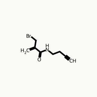 C#CCCNC(=O)C(=C)CBr